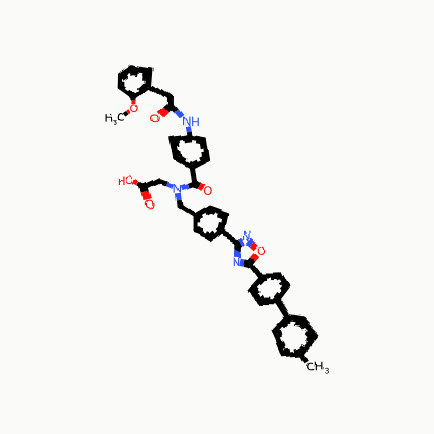 COc1ccccc1CC(=O)Nc1ccc(C(=O)N(CC(=O)O)Cc2ccc(-c3noc(-c4ccc(-c5ccc(C)cc5)cc4)n3)cc2)cc1